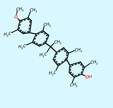 COc1c(C)cc(-c2c(C)cc(C(C)(C)c3cc(C)c(-c4cc(C)c(O)c(C)c4)c(C)c3)cc2C)cc1C